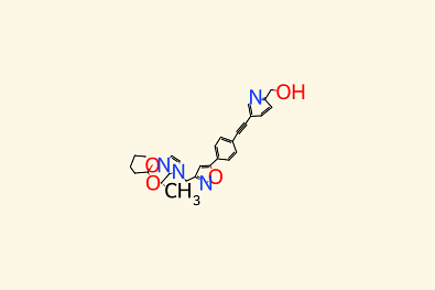 C[C@H](OC1CCCCO1)c1nccn1Cc1cc(-c2ccc(C#Cc3ccc(CO)nc3)cc2)on1